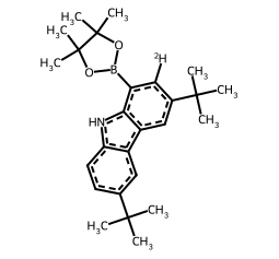 [2H]c1c(C(C)(C)C)cc2c([nH]c3ccc(C(C)(C)C)cc32)c1B1OC(C)(C)C(C)(C)O1